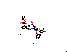 COC(=O)c1nc(Sc2cccc(Cl)c2Cl)c(OCc2ccccc2)cc1N1CCC2(CCC[C@H]2NC(=O)OC(C)(C)C)CC1